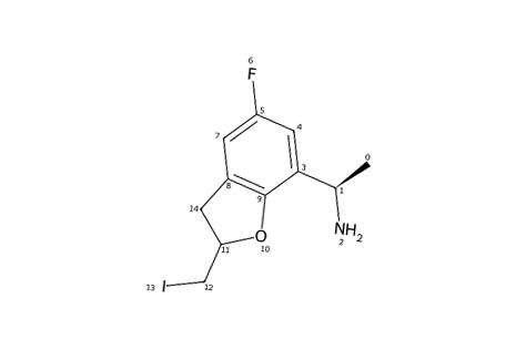 C[C@@H](N)c1cc(F)cc2c1OC(CI)C2